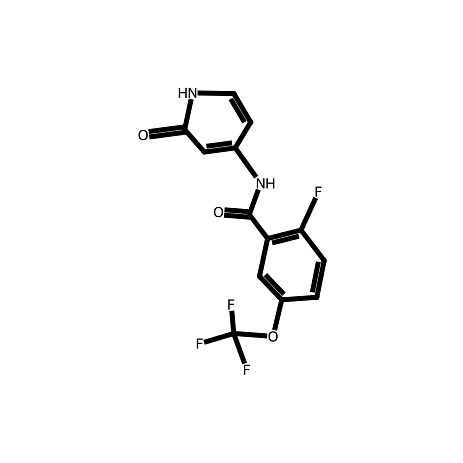 O=C(Nc1cc[nH]c(=O)c1)c1cc(OC(F)(F)F)ccc1F